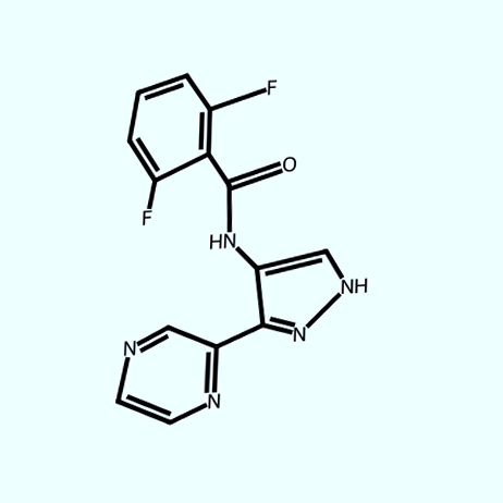 O=C(Nc1c[nH]nc1-c1cnccn1)c1c(F)cccc1F